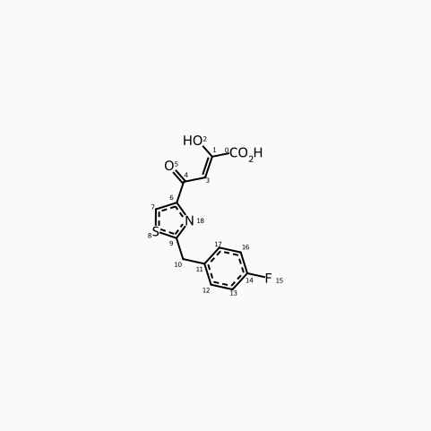 O=C(O)C(O)=CC(=O)c1csc(Cc2ccc(F)cc2)n1